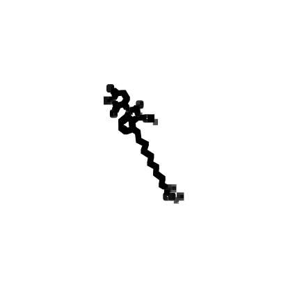 Cn1c(=O)n(C2CCC(=O)NC2=O)c2cccc(CCCCCCCCCCNC(=O)O)c21